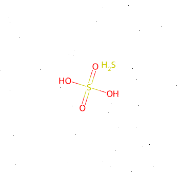 O=S(=O)(O)O.S